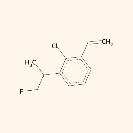 C=Cc1cccc([C](C)CF)c1Cl